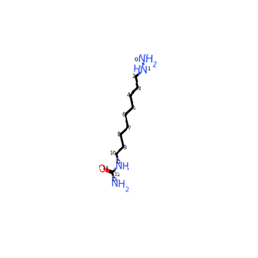 NNCCCCCCCCCNC(N)=O